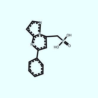 O=P(O)(O)Cc1cc(-c2ccccc2)nc2ccnn12